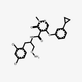 Cn1ncc(Oc2cccc(C3CC3)c2)c(C(=O)NC(CON)Cc2ccc(Cl)cc2Cl)c1=O